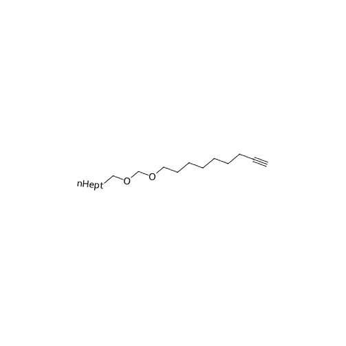 C#CCCCCCCCOCOCCCCCCCC